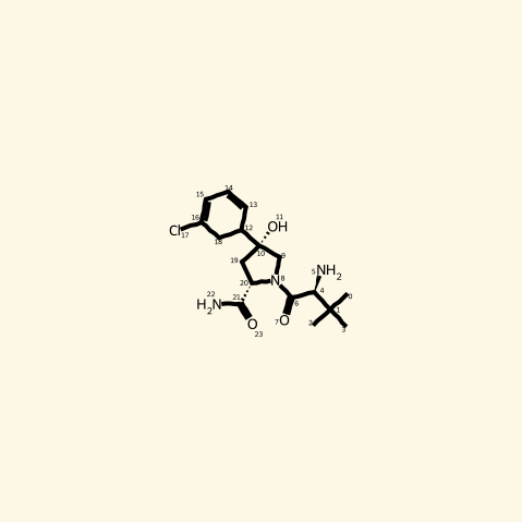 CC(C)(C)[C@H](N)C(=O)N1C[C@](O)(C2C=CC=C(Cl)C2)C[C@H]1C(N)=O